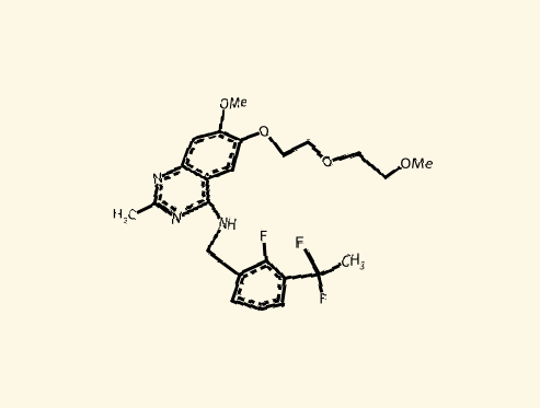 COCCOCCOc1cc2c(NCc3cccc(C(C)(F)F)c3F)nc(C)nc2cc1OC